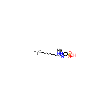 CCCCCCCCCCCCc1nc2cc(S(=O)(=O)O)ccc2[nH]1.[Na]